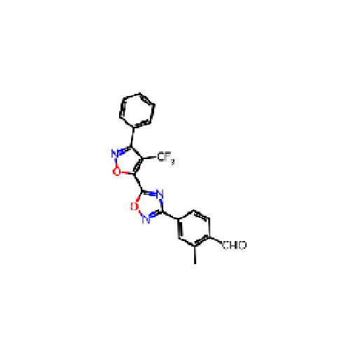 Cc1cc(-c2noc(-c3onc(-c4ccccc4)c3C(F)(F)F)n2)ccc1C=O